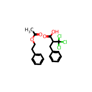 CC(=O)OCCc1ccccc1.O=C(O)C(Cc1ccccc1)C(Cl)(Cl)Cl